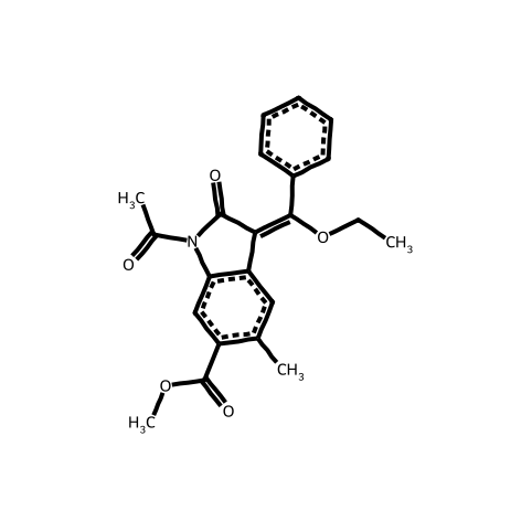 CCOC(=C1C(=O)N(C(C)=O)c2cc(C(=O)OC)c(C)cc21)c1ccccc1